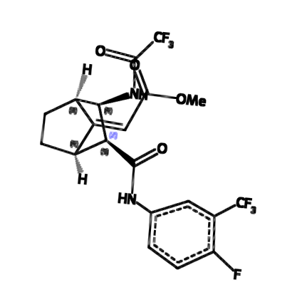 COC(=O)/C=C1\[C@H]2CC[C@@H]1[C@H](C(=O)Nc1ccc(F)c(C(F)(F)F)c1)[C@@H]2NC(=O)C(F)(F)F